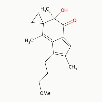 COCCCC1=C(C)C=C2C(=O)[C@](C)(O)C3(CC3)C(C)=C21